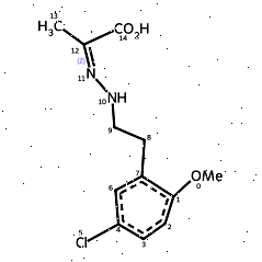 COc1ccc(Cl)cc1CCN/N=C(/C)C(=O)O